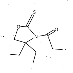 CCC(=O)N1C(=S)OCC1(CC)CC